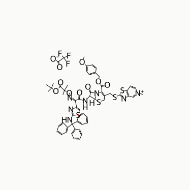 COc1ccc(COC(=O)C2=C(CSc3nc4c[n+](C)ccc4s3)CS[C@H]3C(NC(=O)/C(=N\OC(C)(C)C(=O)OC(C)(C)C)c4csc(NC(c5ccccc5)(c5ccccc5)c5ccccc5)n4)C(=O)N23)cc1.O=C([O-])C(F)(F)F